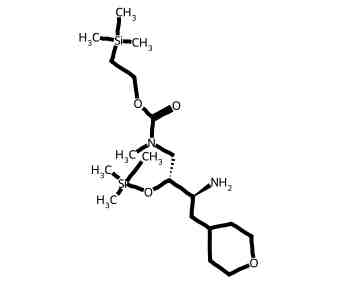 CN(C[C@@H](O[Si](C)(C)C)[C@@H](N)CC1CCOCC1)C(=O)OCC[Si](C)(C)C